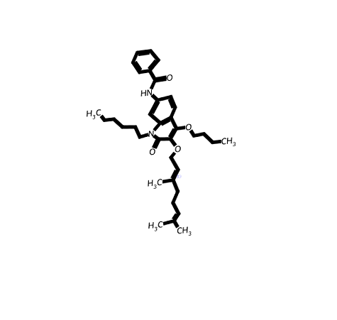 CCCCCCn1c(=O)c(OC/C=C(\C)CCC=C(C)C)c(OCCCC)c2ccc(NC(=O)c3ccccc3)cc21